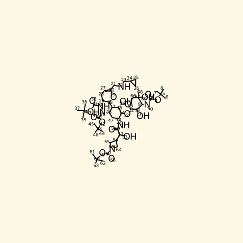 CN(C(=O)OC(C)(C)C)[C@@H]1[C@@H](O)[C@@H](O[C@@H]2[C@@H](O)[C@H](C3OC(CNCC4CC4)=CC[C@H]3NC(=O)OC(C)(C)C)[C@@H](NC(=O)OC(C)(C)C)C[C@H]2NC(=O)C(O)C2CN(C(=O)OC(C)(C)C)C2)OC[C@]1(C)O